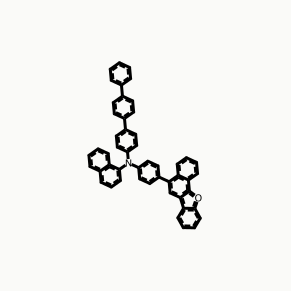 c1ccc(-c2ccc(-c3ccc(N(c4ccc(-c5cc6c7ccccc7oc6c6ccccc56)cc4)c4cccc5ccccc45)cc3)cc2)cc1